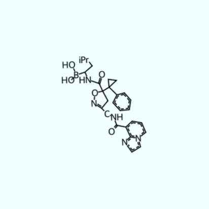 CC(C)CC(NC(=O)C1(C2(c3ccccc3)CC2)CC(CNC(=O)c2cccn3ccnc23)=NO1)B(O)O